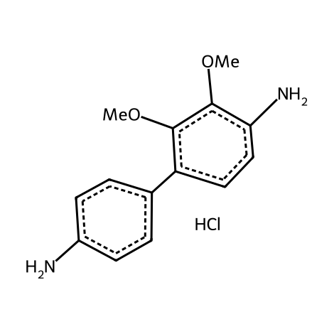 COc1c(N)ccc(-c2ccc(N)cc2)c1OC.Cl